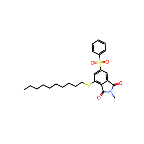 CCCCCCCCCCSc1cc(S(=O)(=O)c2ccccc2)cc2c1C(=O)N(C)C2=O